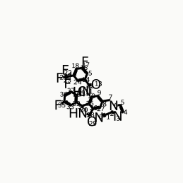 N#Cc1nccn1Cc1cc(NC(=O)c2cc(F)cc(C(F)(F)F)c2)c2c(c1)C(=O)NC2c1cc(F)ccc1Cl